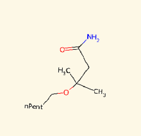 CCCCCCOC(C)(C)CC(N)=O